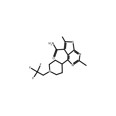 Cc1nc(C2CCN(CC(F)(F)F)CC2)c2c(C(N)=O)c(C)sc2n1